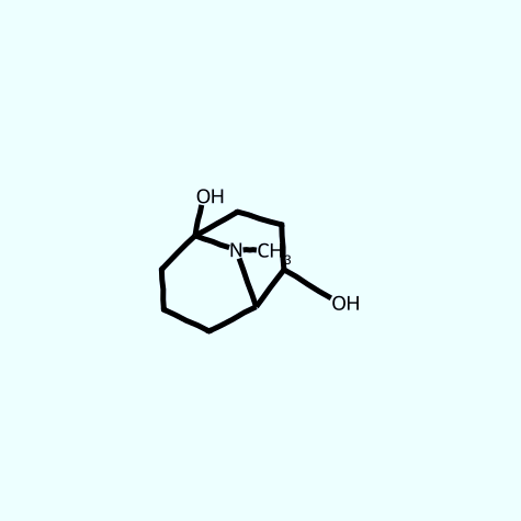 CN1C2CCCC1(O)CCC2O